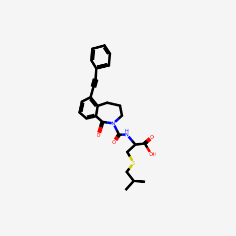 CC(C)CSCC(NC(=O)N1CCCc2c(C#Cc3ccccc3)cccc2C1=O)C(=O)O